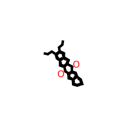 CCCc1cc2cc3c(cc2cc1CCC)C(=O)c1cc2ccccc2cc1C3=O